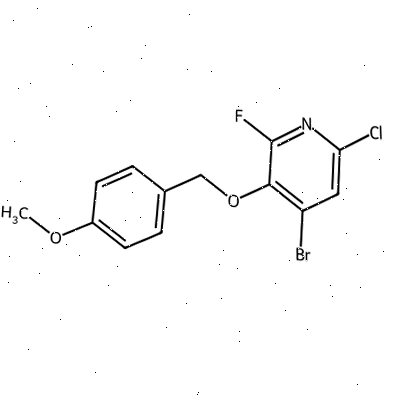 COc1ccc(COc2c(Br)cc(Cl)nc2F)cc1